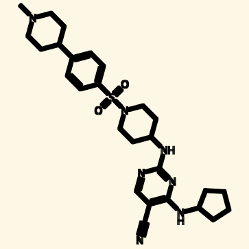 CN1CCC(c2ccc(S(=O)(=O)N3CCC(Nc4ncc(C#N)c(NC5CCCC5)n4)CC3)cc2)CC1